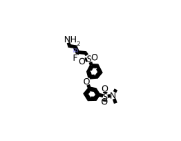 CN(C)S(=O)(=O)c1cccc(Oc2cccc(S(=O)(=O)C/C(F)=C/CN)c2)c1